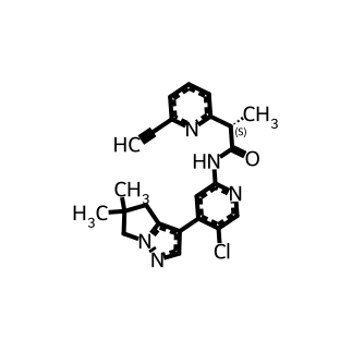 C#Cc1cccc([C@H](C)C(=O)Nc2cc(-c3cnn4c3CC(C)(C)C4)c(Cl)cn2)n1